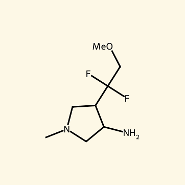 COCC(F)(F)C1CN(C)CC1N